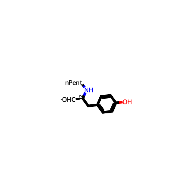 CCCCCN[C@H]([C]=O)Cc1ccc(O)cc1